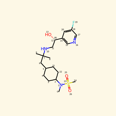 CN(C1CCC(CC(C)(C)NC[C@H](O)c2cncc(F)c2)CC1)S(C)(=O)=O